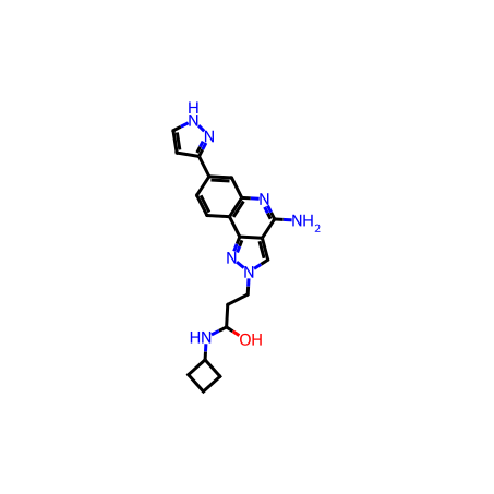 Nc1nc2cc(-c3cc[nH]n3)ccc2c2nn(CCC(O)NC3CCC3)cc12